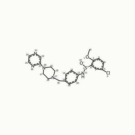 COc1ccc(Cl)cc1[S+]([O-])Nc1ccc(CN2CCN(c3cnccn3)CC2)cc1